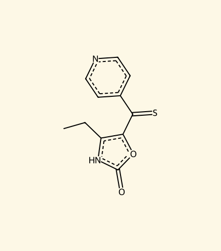 CCc1[nH]c(=O)oc1C(=S)c1ccncc1